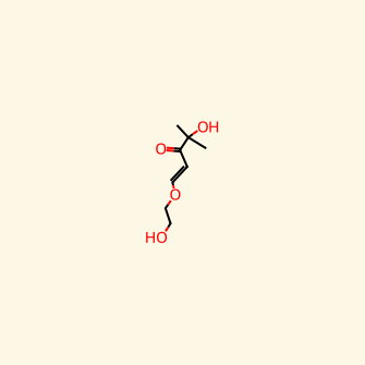 CC(C)(O)C(=O)C=COCCO